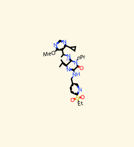 CCCN1C(=O)C(NCc2ccc(S(=O)(=O)CC)nc2)=NC(=C(C)C)/C1=N\C(C)c1c(OC)ncnc1C1CC1